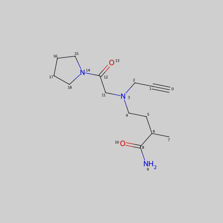 C#CCN(CCC(C)C(N)=O)CC(=O)N1CCCC1